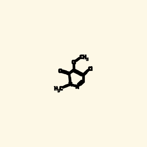 COc1c(Cl)cnn(C)c1=O